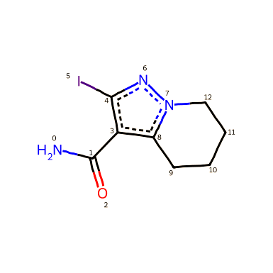 NC(=O)c1c(I)nn2c1CCCC2